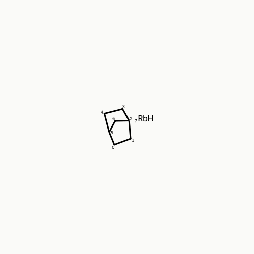 C1CC2CCC1C2.[RbH]